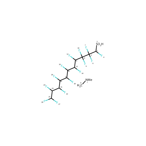 CNC.O=S(=O)(O)C(F)C(F)(F)C(F)(F)C(F)C(F)C(F)C(F)C(F)C(F)C(F)C(F)F